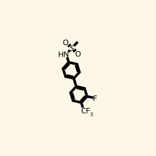 CS(=O)(=O)Nc1ccc(-c2ccc(C(F)(F)F)c(F)c2)cc1